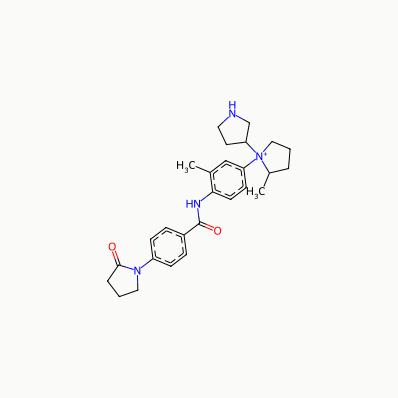 Cc1cc([N+]2(C3CCNC3)CCCC2C)ccc1NC(=O)c1ccc(N2CCCC2=O)cc1